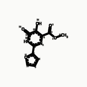 COC(=O)c1nc(-c2ccco2)[nH]c(=O)c1O